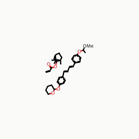 C=CC(=O)OC1CC2CCC1(C)C2(C)C.COC(C)Oc1ccc(C=CC=Cc2ccc(OC3CCCCO3)cc2)cc1